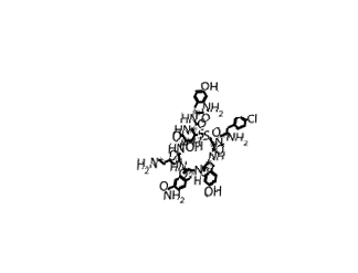 CN(C(=O)[C@@H](N)Cc1ccc(Cl)cc1)[C@@H]1CSSC2[C@@H](C(=O)N[C@H](Cc3ccc(O)cc3)C(N)=O)NC(=O)[C@@H](NC(=O)[C@H](CCCCN)NC(=O)[C@@H](Cc3ccc(C(N)=O)cc3)NC(=O)[C@H](Cc3ccc(O)cc3)NC1=O)[C@@H]2O